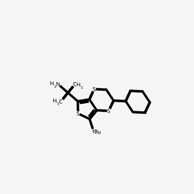 CC(C)(C)c1sc(C(C)(C)N)c2c1SC(C1CCCCC1)CS2